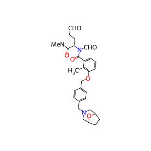 CNC(=O)C(CCC=O)N(C=O)C(=O)c1cccc(OCc2ccc(CN3CC4CCC(C3)O4)cc2)c1C